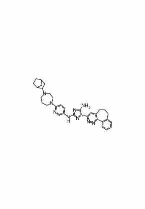 Nc1nc(Nc2ccc(N3CCCN(C4CC5CCC4C5)CC3)nc2)nn1-c1cc2c(nn1)-c1ccccc1CCC2